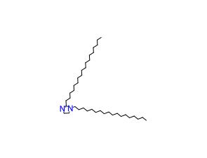 CCCCCCCCCCCCCCCCCCC1=NCCN1CCCCCCCCCCCCCCCCCC